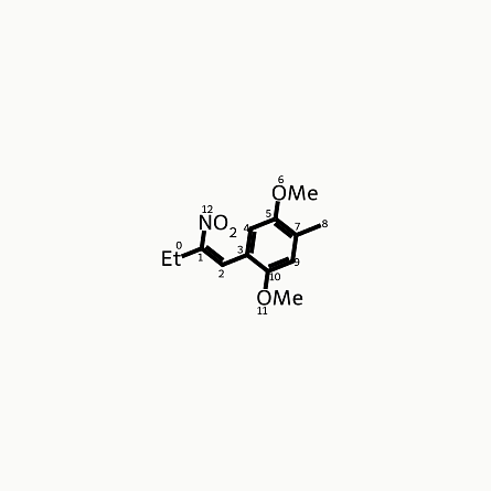 CCC(=Cc1cc(OC)c(C)cc1OC)[N+](=O)[O-]